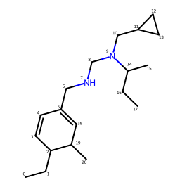 CCC1C=CC(CNCN(CC2CC2)C(C)CC)=CC1C